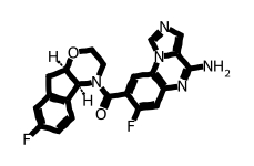 Nc1nc2cc(F)c(C(=O)N3CCO[C@@H]4Cc5cc(F)ccc5[C@@H]43)cc2n2cncc12